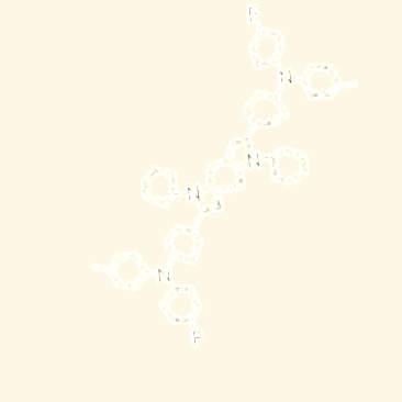 Cc1ccc(N(c2ccc(F)cc2)c2ccc(-c3cc4cc5c(cc(-c6ccc(N(c7ccc(C)cc7)c7ccc(F)cc7)cc6)n5-c5ccccc5)cc4n3-c3ccccc3)cc2)cc1